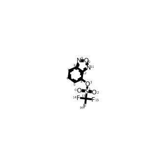 O=S(=O)(Oc1cccc2nonc12)C(F)(F)F